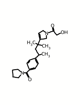 CC(CC(C)(C)C1=CCN(C(=O)CO)C1)c1ccc(C(=O)N2CCCC2)cc1